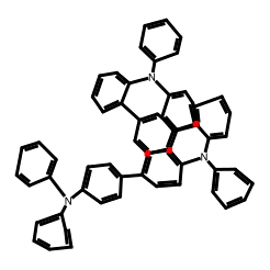 c1ccc(N(c2ccccc2)c2ccc(-c3ccc(N(c4ccccc4)c4ccccc4-c4cccc(-c5ccccc5N(c5ccccc5)c5ccccc5)c4)cc3)cc2)cc1